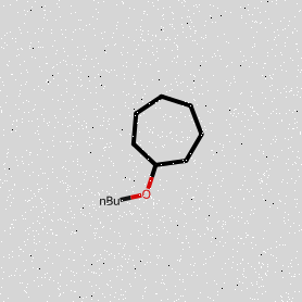 CC[CH]COC1CCCCCC1